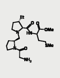 CC[C@H]1CCN(C[C@@H]2CCCN2C(=O)CN)C1C(=O)NC(CCSC)C(=O)OC